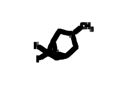 CN1CC2CC(F)(F)C(C1)N2